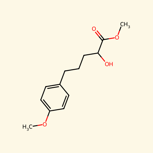 COC(=O)C(O)CCCc1ccc(OC)cc1